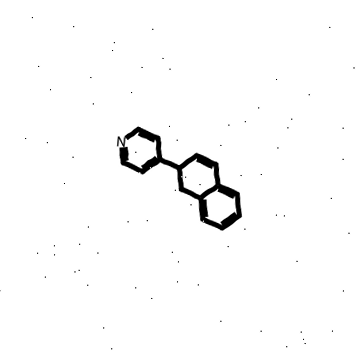 C1=CC(c2ccncc2)Cc2ccccc21